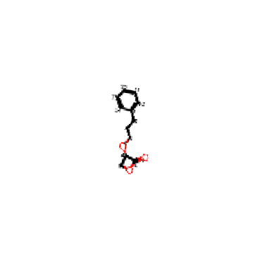 O=C1OC[C@H]1OCCCc1ccccc1